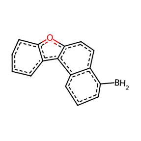 Bc1cccc2c1ccc1oc3ccccc3c12